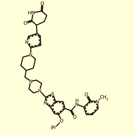 CC(C)Oc1cc2nc(N3CCN(CC4CCN(c5ccc(C6CCC(=O)NC6=O)cn5)CC4)CC3)sc2cc1C(=O)Nc1cccn(C)c1=O